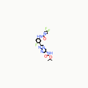 CC(C)OC(=O)Nc1cnc2nc(-c3cc(NC(=O)N4CC(F)(F)C4)ccc3F)cn2c1